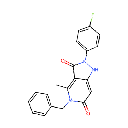 Cc1c2c(=O)n(-c3ccc(F)cc3)[nH]c2cc(=O)n1Cc1ccccc1